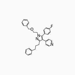 Fc1ccc(-c2c(-c3ccncc3)c(CCCc3ccccc3)nn2CCOCc2ccccc2)cc1